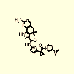 CN(C)[C@@H]1CCN(C(=O)C2(c3csc(NC(=O)c4n[nH]c5c4C(C)(C)Cc4cnc(N)nc4-5)n3)CC2)C1